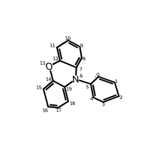 [c]1ccccc1N1c2ccccc2Oc2ccccc21